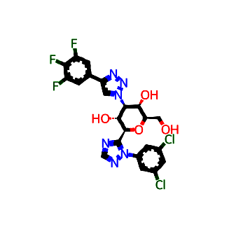 OC[C@H]1O[C@@H](c2ncnn2-c2cc(Cl)cc(Cl)c2)[C@H](O)[C@@H](n2cc(-c3cc(F)c(F)c(F)c3)nn2)[C@H]1O